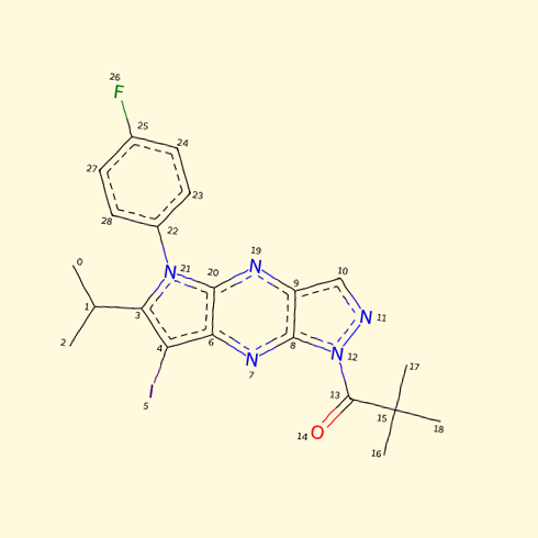 CC(C)c1c(I)c2nc3c(cnn3C(=O)C(C)(C)C)nc2n1-c1ccc(F)cc1